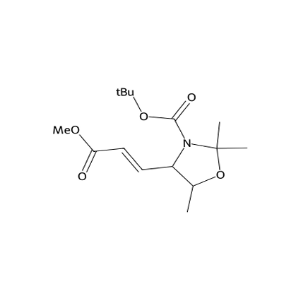 COC(=O)C=CC1C(C)OC(C)(C)N1C(=O)OC(C)(C)C